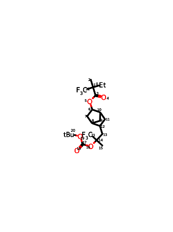 CCC(C)(C(=O)OC1CC2CC1CC2CC(C)(OC(=O)OC(C)(C)C)C(F)(F)F)C(F)(F)F